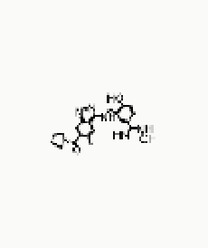 Cc1cc2c(NCc3cc(C(=N)NO)ccc3O)ncnc2cc1C(=O)N1CCCC1